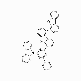 c1ccc(-c2nc(-c3cccc4c3sc3cccc(-c5cccc6c5oc5ccccc56)c34)nc(-n3c4ccccc4c4ccccc43)n2)cc1